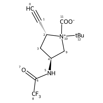 C#C[C@H]1C[C@H](NC(=O)C(F)(F)F)C[N+]1(C(=O)[O-])C(C)(C)C